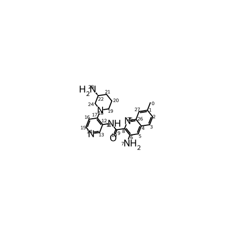 Cc1ccc2cc(N)c(C(=O)Nc3cnccc3N3CCC[C@H](N)C3)nc2c1